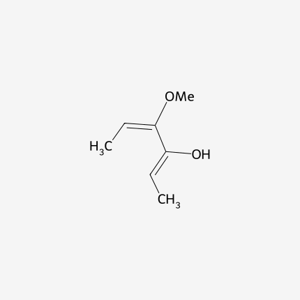 CC=C(O)C(=CC)OC